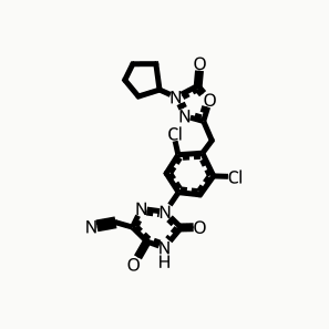 N#Cc1nn(-c2cc(Cl)c(Cc3nn(C4CCCC4)c(=O)o3)c(Cl)c2)c(=O)[nH]c1=O